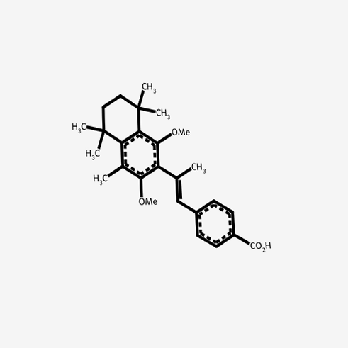 COc1c(C)c2c(c(OC)c1/C(C)=C/c1ccc(C(=O)O)cc1)C(C)(C)CCC2(C)C